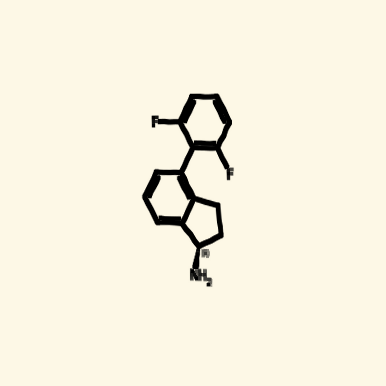 N[C@@H]1CCc2c(-c3c(F)cccc3F)cccc21